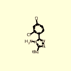 CC(C)(C)c1nnc(-c2ccc(Cl)cc2Cl)n1N